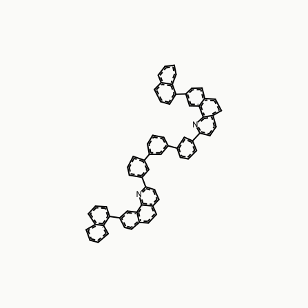 c1cc(-c2cccc(-c3ccc4ccc5ccc(-c6cccc7ccccc67)cc5c4n3)c2)cc(-c2cccc(-c3ccc4ccc5ccc(-c6cccc7ccccc67)cc5c4n3)c2)c1